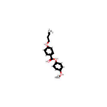 C=CCCOc1ccc(C(=O)Oc2ccc(OCCCC)cc2)cc1